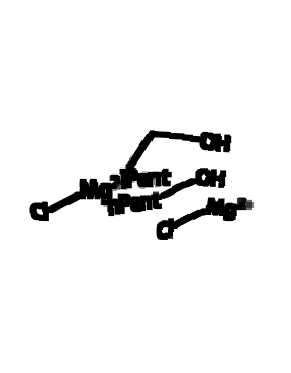 CCCC(C)CO.CCCCCO.[Mg+2][Cl].[Mg+2][Cl]